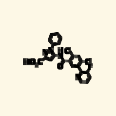 CCOC(=O)c1cc(NC(=O)c2cc(-c3ncccc3F)c(Cl)cc2Cl)n(-c2ccccc2)n1